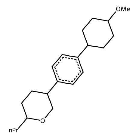 CCCC1CCC(c2ccc(C3CCC(OC)CC3)cc2)CO1